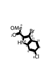 COC(=O)c1[nH]c2cc(Cl)ccc2c1Br